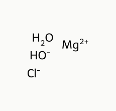 O.[Cl-].[Mg+2].[OH-]